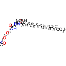 CCNC(=O)COCCOCCNC(=O)CC[C@H](NC(=O)CCCCCCCCCCCCCCCCCCC(=O)O)C(=O)O